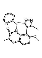 COc1ccc2cc(C)c(=O)n(Cc3ccccn3)c2c1-c1c(C)noc1C